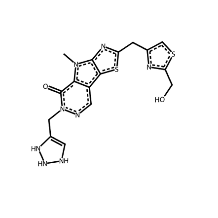 Cn1c2nc(Cc3csc(CO)n3)sc2c2cnn(CC3=CNNN3)c(=O)c21